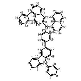 c1ccc(-n2c3ccccc3c3cc(-c4ccc5c(c4)c4ccc6ccccc6c4n5-c4cc5cccc6c5c(n4)-c4cnccc4-6)ccc32)cc1